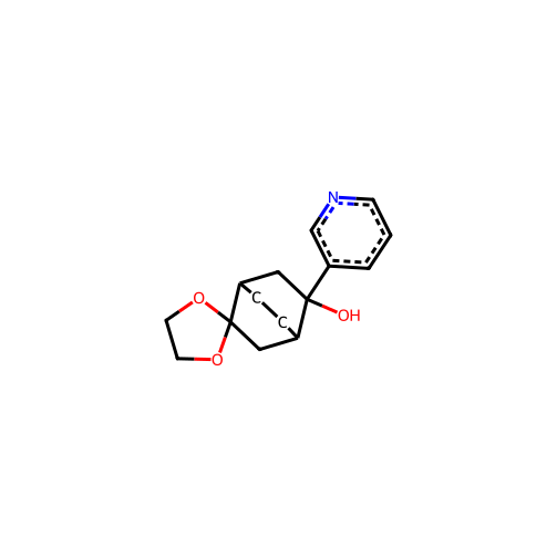 OC1(c2cccnc2)CC2CCC1CC21OCCO1